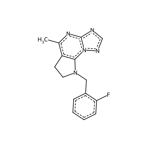 Cc1nc2ncnn2c2c1CCN2Cc1ccccc1F